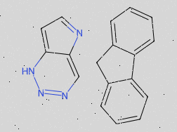 c1cc2[nH]nncc-2n1.c1ccc2c(c1)Cc1ccccc1-2